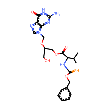 CC(C)C(NC(=P)OCc1ccccc1)C(=O)OCC(CO)OCn1cnc2c(=O)[nH]c(N)nc21